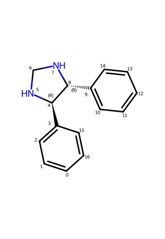 c1ccc([C@H]2NCN[C@@H]2c2ccccc2)cc1